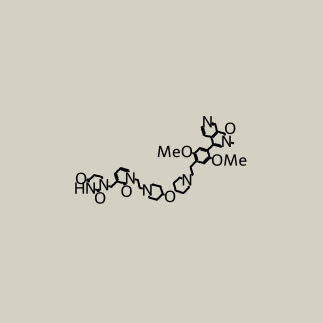 COc1cc(-c2cn(C)c(=O)c3cnccc23)c(OC)cc1CCN1CCC(OC2CCN(CCn3cccc(CN4CCC(=O)NC4=O)c3=O)CC2)CC1